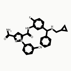 N#Cc1cccc(-n2nc(C(N)=O)cc2C(=O)Nc2cc(C(NCC3CC3)c3ccccc3)ccc2F)c1